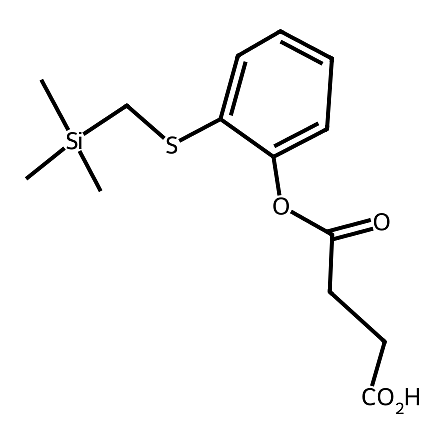 C[Si](C)(C)CSc1ccccc1OC(=O)CCC(=O)O